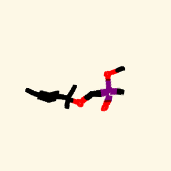 CC#CC(C)(C)OCP(C)(=O)OC